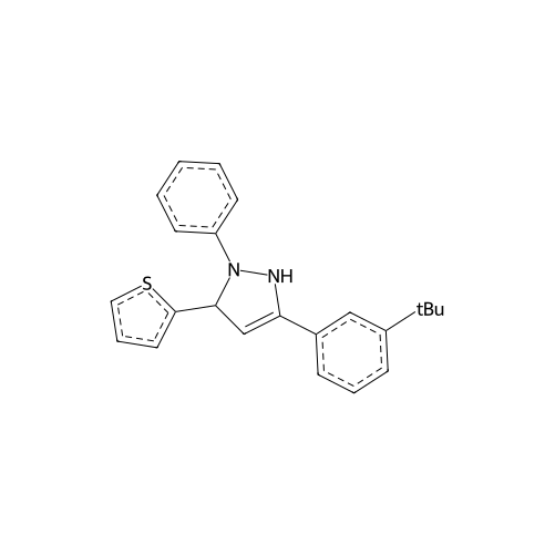 CC(C)(C)c1cccc(C2=CC(c3cccs3)N(c3ccccc3)N2)c1